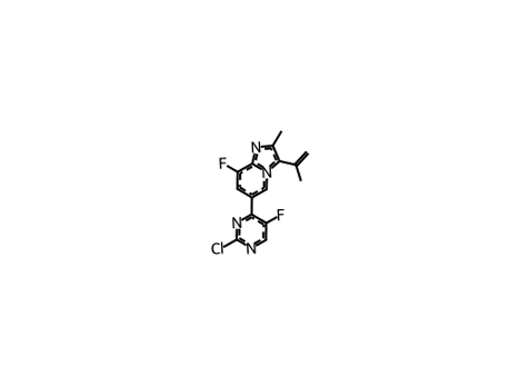 C=C(C)c1c(C)nc2c(F)cc(-c3nc(Cl)ncc3F)cn12